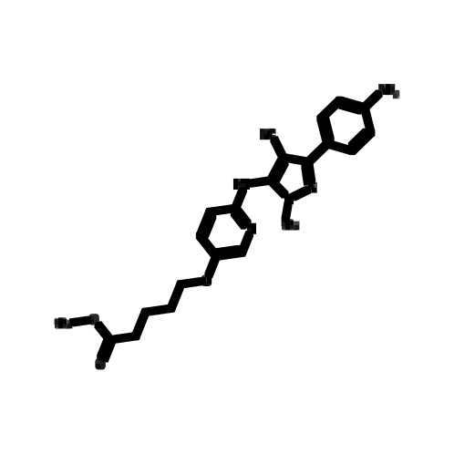 CC(C)(C)OC(=O)CCCCOc1ccc(Nc2c(C#N)c(-c3ccc(N)cc3)nn2C(C)(C)C)nc1